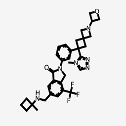 Cn1cnnc1C1(c2cccc(N3Cc4c(cc(CNC5(C)CCC5)cc4C(F)(F)F)C3=O)c2)CC2(CN(C3COC3)C2)C1